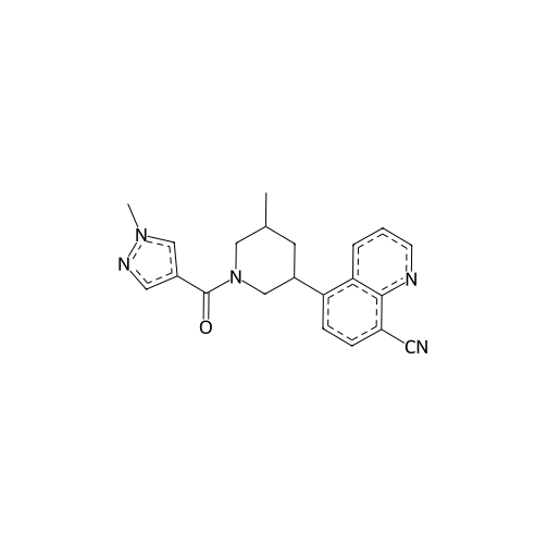 CC1CC(c2ccc(C#N)c3ncccc23)CN(C(=O)c2cnn(C)c2)C1